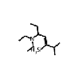 CCC(C=C([SiH3])C(C)C)N(CC)CC